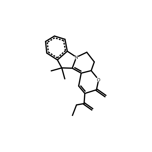 C=C(CC)C1=CC2=C3N(CCC2OC1=C)c1ccccc1C3(C)C